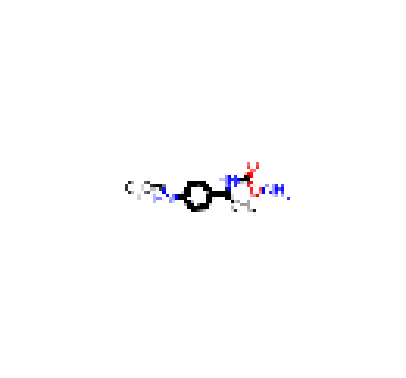 C=C(NC(=O)ON)c1ccc(NCC(=O)O)cc1